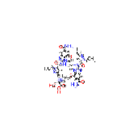 CCn1nc(C)cc1C(=O)Nc1nc2cc(C(N)=O)cc(OCCCN[C@@H](CO)C(=O)O)c2n1CCC[C@H]1COc2cc(C(N)=O)cc3nc(NC(=O)c4cc(C)nn4CC)n1c23